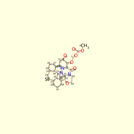 COC(=O)OCOc1c2n(ccc1=O)N([C@@H]1c3ccccc3[Se]Cc3cccc(F)c31)[C@@H]1COCCN1C2=O